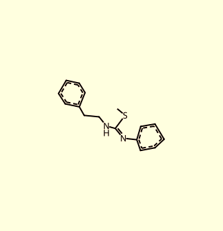 CSC(=Nc1ccccc1)NCCc1ccccc1